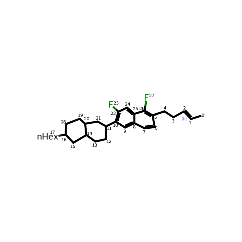 C/C=C/CCc1ccc2cc(C3CCC4CC(CCCCCC)CCC4C3)c(F)cc2c1F